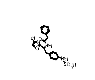 CCc1coc(C(Cc2ccc(NS(=O)(=O)O)cc2)NC(=O)Cc2ccccc2)n1